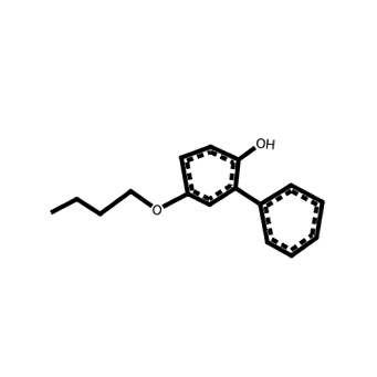 CCCCOc1ccc(O)c(-c2ccccc2)c1